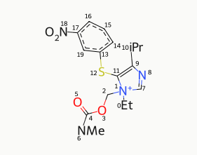 CC[N+]1(COC(=O)NC)C=NC(C(C)C)=C1Sc1cccc([N+](=O)[O-])c1